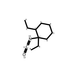 CCC1CCCCC1(CC)N=C=O